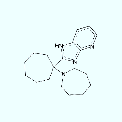 c1cnc2nc(C3(N4CCCCCC4)CCCCCC3)[nH]c2c1